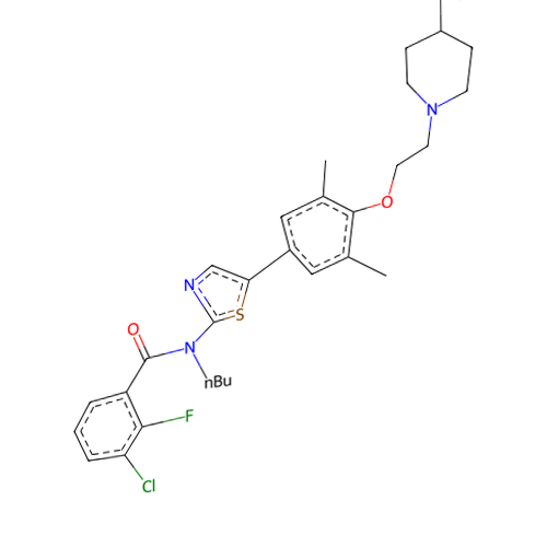 CCCCN(C(=O)c1cccc(Cl)c1F)c1ncc(-c2cc(C)c(OCCN3CCC(C(=O)O)CC3)c(C)c2)s1